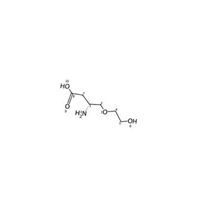 N[C@@H](COCCO)CC(=O)O